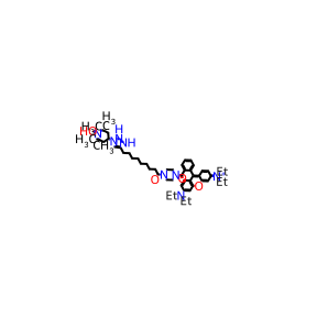 CCN(CC)c1ccc2c(-c3ccccc3C(=O)N3CCN(C(=O)CCCCCCCCC4=CN(C5CC(C)(C)N(O)C(C)(C)C5)NN4)CC3)c3ccc(=[N+](CC)CC)cc-3oc2c1